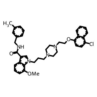 COc1cccc2c(C(=O)NCc3cccc(C)c3)cn(CCCN3CCN(CCOc4ccc(Cl)c5ccccc45)CC3)c12